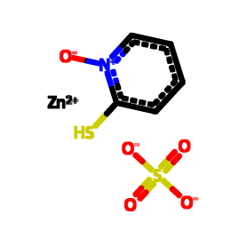 O=S(=O)([O-])[O-].[O-][n+]1ccccc1S.[Zn+2]